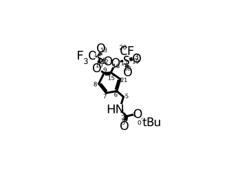 CC(C)(C)OC(=O)NCc1ccc(OS(=O)(=O)C(F)(F)F)c(OS(=O)(=O)C(F)(F)F)c1